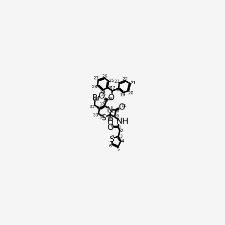 O=C(Cc1cccs1)NC1C(=O)N2C(C(=O)OC(c3ccccc3)c3ccccc3)=C(CBr)CS[C@@H]12